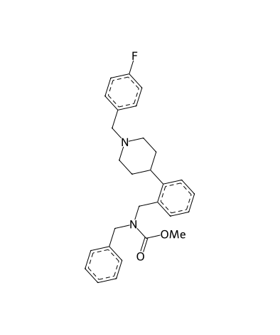 COC(=O)N(Cc1ccccc1)Cc1ccccc1C1CCN(Cc2ccc(F)cc2)CC1